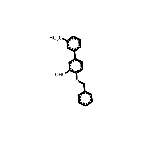 O=Cc1cc(-c2cccc(C(=O)O)c2)ccc1OCc1ccccc1